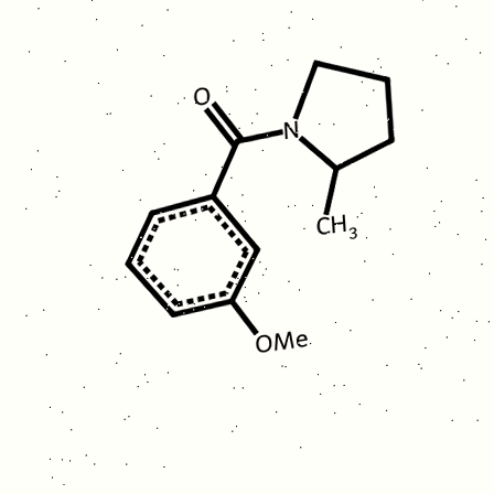 COc1cccc(C(=O)N2CCCC2C)c1